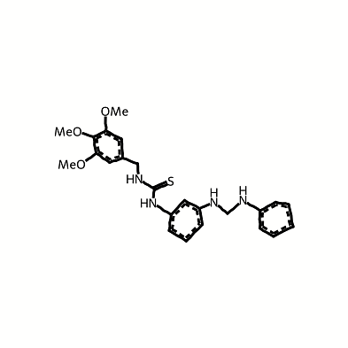 COc1cc(CNC(=S)Nc2cccc(NCNc3ccccc3)c2)cc(OC)c1OC